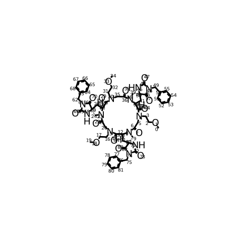 COCCN1CC(=O)N2C[C@]3(C[C@H]2C(=O)N(CCOC)CC(=O)N2C[C@]4(C[C@H]2C(=O)N(CCOC)CC(=O)N2C[C@]5(C[C@H]2C1=O)NC(=O)N(Cc1ccccc1)C5=O)NC(=O)N(Cc1ccccc1)C4=O)NC(=O)N(Cc1ccccc1)C3=O